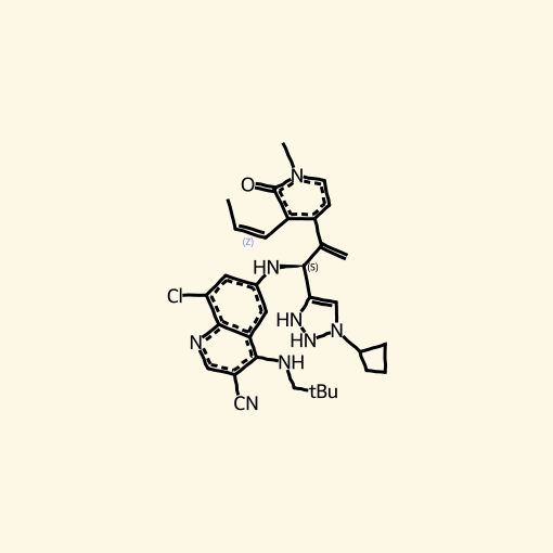 C=C(c1ccn(C)c(=O)c1/C=C\C)[C@H](Nc1cc(Cl)c2ncc(C#N)c(NCC(C)(C)C)c2c1)C1=CN(C2CCC2)NN1